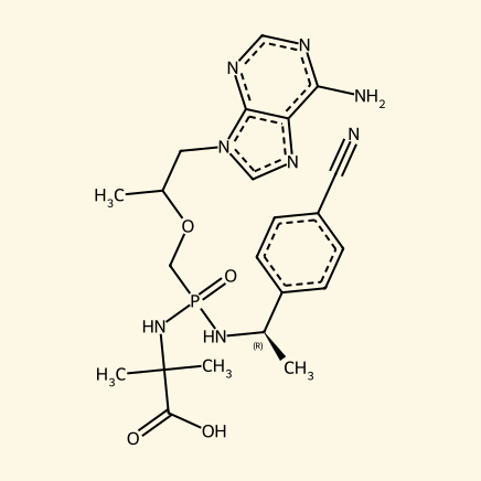 CC(Cn1cnc2c(N)ncnc21)OCP(=O)(N[C@H](C)c1ccc(C#N)cc1)NC(C)(C)C(=O)O